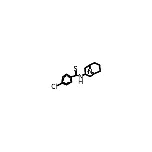 CN1C2CCCC1CC(NC(=S)c1ccc(Cl)cc1)C2